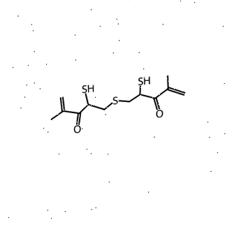 C=C(C)C(=O)C(S)CSCC(S)C(=O)C(=C)C